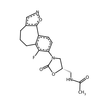 CC(=O)NC[C@H]1CN(c2ccc3c(c2F)CCCc2cnoc2-3)C(=O)O1